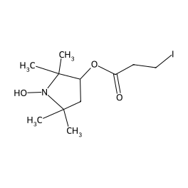 CC1(C)CC(OC(=O)CCI)C(C)(C)N1O